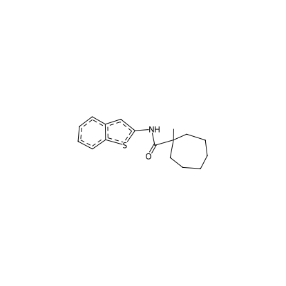 CC1(C(=O)Nc2cc3ccccc3s2)CCCCCC1